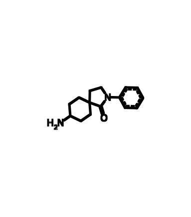 NC1CCC2(CC1)CCN(c1ccccc1)C2=O